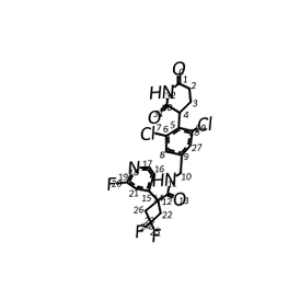 O=C1CCC(c2c(Cl)cc(CNC(=O)C3(c4ccnc(F)c4)CC(F)(F)C3)cc2Cl)C(=O)N1